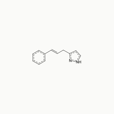 C(=Cc1ccccc1)Cc1cc[nH]n1